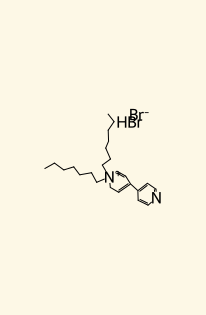 Br.CCCCCCC[N+]1(CCCCCCC)C=CC(c2ccncc2)=CC1.[Br-]